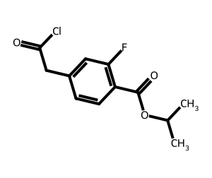 CC(C)OC(=O)c1ccc(CC(=O)Cl)cc1F